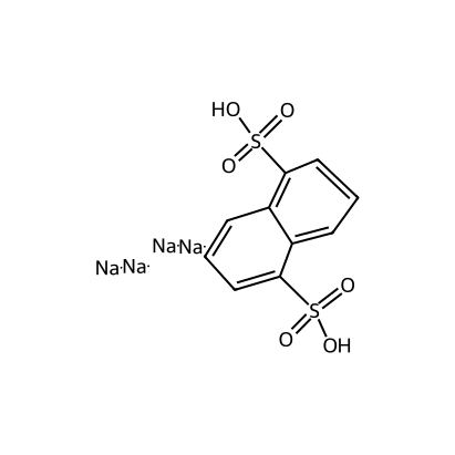 O=S(=O)(O)c1cccc2c(S(=O)(=O)O)cccc12.[Na].[Na].[Na].[Na]